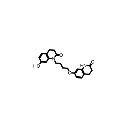 O=C1CCc2ccc(OCCCCN3C(=O)CCc4ccc(O)cc43)cc2N1